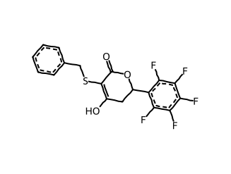 O=C1OC(c2c(F)c(F)c(F)c(F)c2F)CC(O)=C1SCc1ccccc1